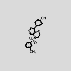 Cc1cccc(S(=O)(=O)N2CCSc3c(-c4ccc(C#N)cc4)cncc32)c1